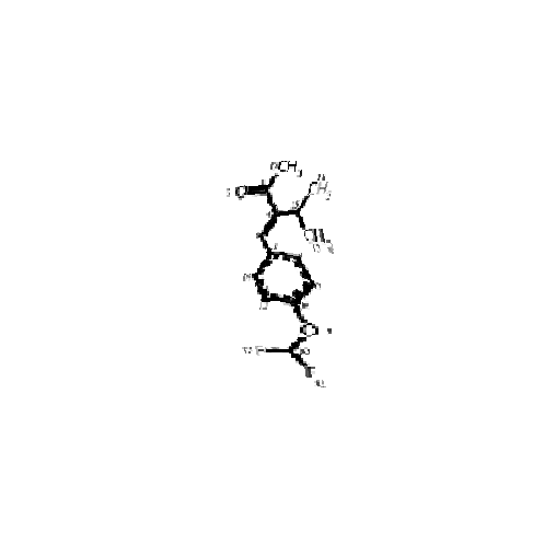 CC(=O)/C(=C/c1ccc(OC(F)F)cc1)C(C)C